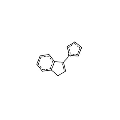 C1=C(n2cccc2)c2ccccc2C1